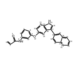 C=CC(=O)Nc1cccc(Oc2cnc3[nH]cc(-c4ccc5ncccc5c4)c3n2)c1